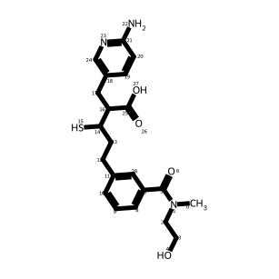 CN(CCO)C(=O)c1cccc(CCC(S)C(Cc2ccc(N)nc2)C(=O)O)c1